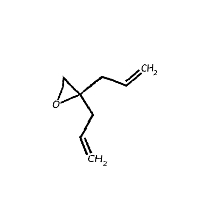 C=CCC1(CC=C)CO1